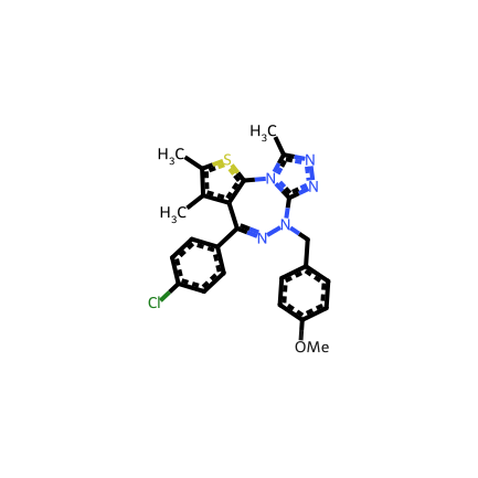 COc1ccc(CN2N=C(c3ccc(Cl)cc3)c3c(sc(C)c3C)-n3c(C)nnc32)cc1